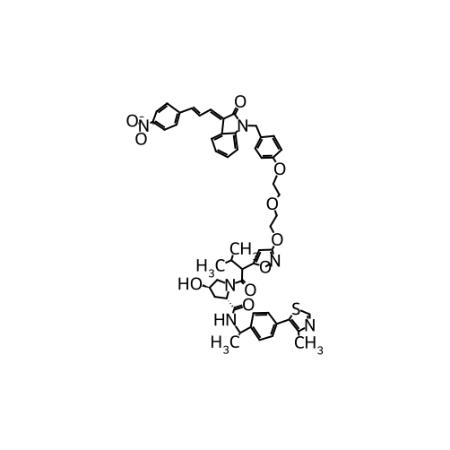 Cc1ncsc1-c1ccc([C@H](C)NC(=O)[C@@H]2C[C@@H](O)CN2C(=O)C(c2cc(OCCOCCOc3ccc(CN4C(=O)/C(=C/C=C/c5ccc([N+](=O)[O-])cc5)c5ccccc54)cc3)no2)C(C)C)cc1